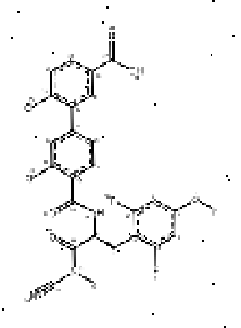 COc1cc(F)c(C[C@H](NC(=O)c2ccc(-c3cc(C(=O)O)ccc3Cl)cc2Cl)C(=O)N(C)C#N)c(F)c1